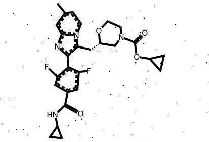 Cc1ccn2c(C[C@H]3CN(C(=O)OC4CC4)CCO3)c(-c3c(F)cc(C(=O)NC4CC4)cc3F)nc2c1